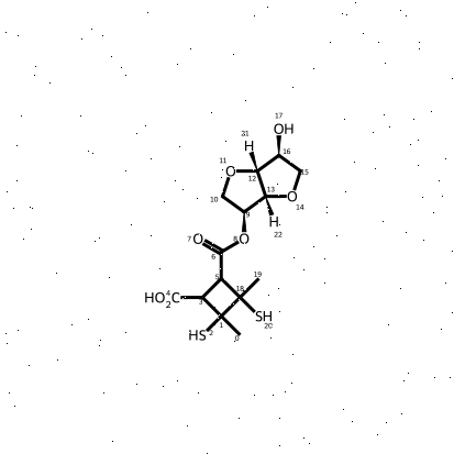 CC1(S)C(C(=O)O)C(C(=O)O[C@H]2CO[C@H]3[C@@H]2OC[C@@H]3O)C1(C)S